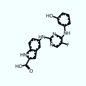 O=C(O)c1cc2cc(Nc3ncc(F)c(Nc4cccc(O)c4)n3)ccc2[nH]1